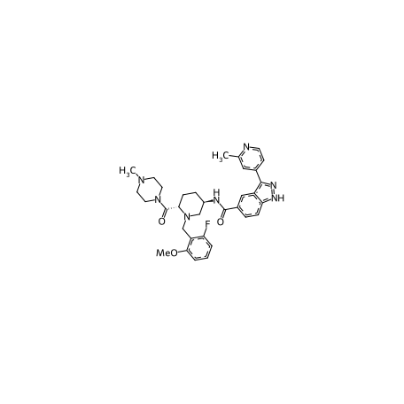 COc1cccc(F)c1CN1C[C@H](NC(=O)c2ccc3[nH]nc(-c4ccnc(C)c4)c3c2)CC[C@H]1C(=O)N1CCN(C)CC1